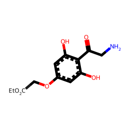 CCOC(=O)COc1cc(O)c(C(=O)CN)c(O)c1